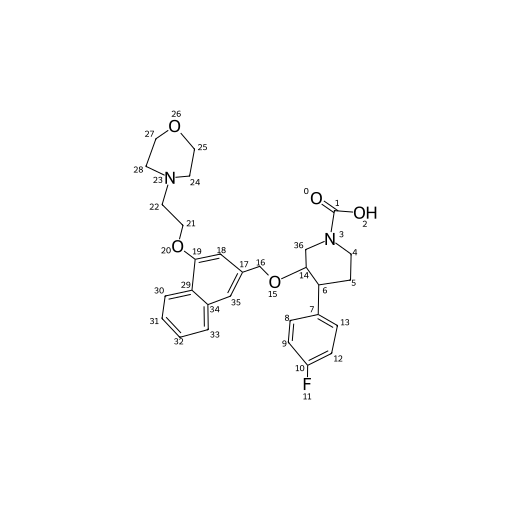 O=C(O)N1CCC(c2ccc(F)cc2)C(OCc2cc(OCCN3CCOCC3)c3ccccc3c2)C1